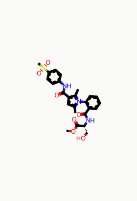 COC(=O)[C@@H](CO)NC(=O)c1ccccc1-n1c(C)cc(C(=O)Nc2ccc(S(C)(=O)=O)cc2)c1C